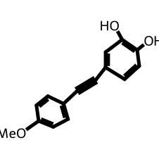 COc1ccc(C#Cc2ccc(O)c(O)c2)cc1